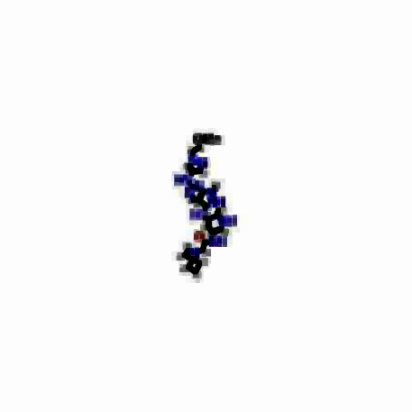 COCCn1cc(Nc2ncc3c(n2)N(C)NC3NC2=CC(NC(=O)CN3CCC34CCC4)=CNC2C)cn1